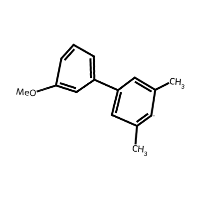 COc1cccc(-c2cc(C)[c]c(C)c2)c1